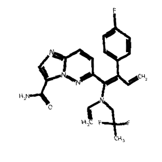 C=C/C(=C(/c1ccc2ncc(C(N)=O)n2n1)N(C=C)CC(C)(F)F)c1ccc(F)cc1